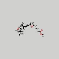 CCOC(=O)CCCCc1ccc(C#Cc2cc3c(cc2CC)OCCC3(CC)CC)o1